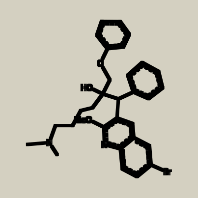 COc1nc2ccc(Br)cc2cc1C(c1ccccc1)C(O)(CCCCN(C)C)COc1ccccc1